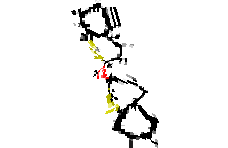 c1ccc2c(c1)CCC(OC1CCc3ccccc3S1)S2